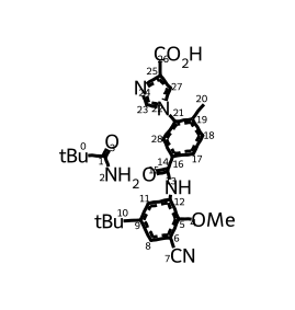 CC(C)(C)C(N)=O.COc1c(C#N)cc(C(C)(C)C)cc1NC(=O)c1ccc(C)c(-n2cnc(C(=O)O)c2)c1